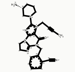 CC#CCn1c(N2CCC[C@@H](N)C2)nc2c1C(=O)N(Cc1ccccc1C#N)C1=NCCN12